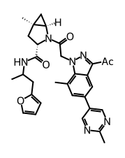 CC(=O)c1nn(CC(=O)N2[C@H](C(=O)NC(C)Cc3ccco3)C[C@@]3(C)C[C@@H]23)c2c(C)cc(-c3cnc(C)nc3)cc12